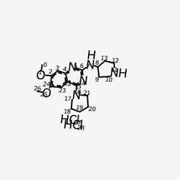 COc1cc2nc(NC3CCNCC3)nc(N3CCCCC3)c2cc1OC.Cl.Cl